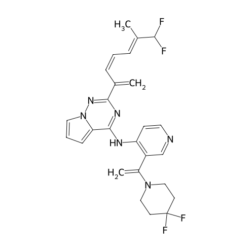 C=C(/C=C\C=C(/C)C(F)F)c1nc(Nc2ccncc2C(=C)N2CCC(F)(F)CC2)c2cccn2n1